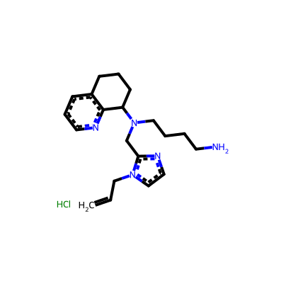 C=CCn1ccnc1CN(CCCCN)C1CCCc2cccnc21.Cl